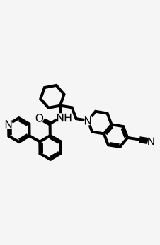 N#Cc1ccc2c(c1)CCN(CCC1(NC(=O)c3ccccc3-c3ccncc3)CCCCC1)C2